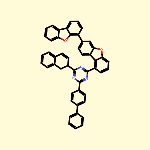 C1=CC(c2nc(-c3ccc(-c4ccccc4)cc3)nc(-c3cccc4oc5cc(-c6cccc7c6oc6ccccc67)ccc5c34)n2)Cc2ccccc21